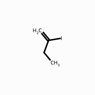 C=C(I)CC